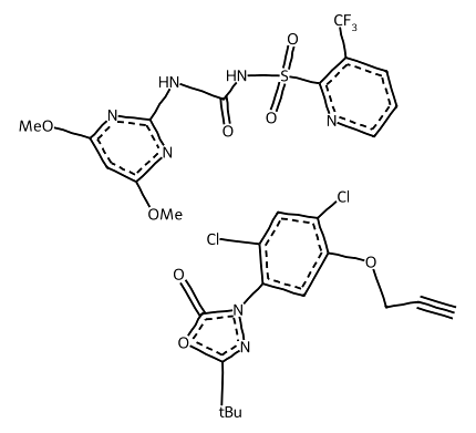 C#CCOc1cc(-n2nc(C(C)(C)C)oc2=O)c(Cl)cc1Cl.COc1cc(OC)nc(NC(=O)NS(=O)(=O)c2ncccc2C(F)(F)F)n1